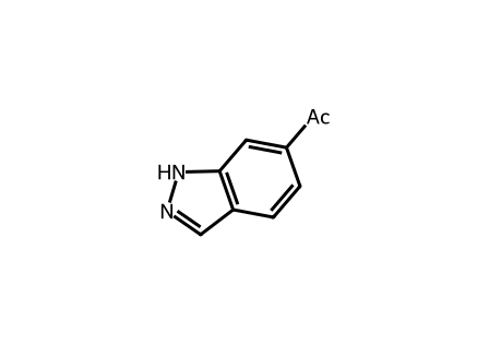 CC(=O)c1ccc2cn[nH]c2c1